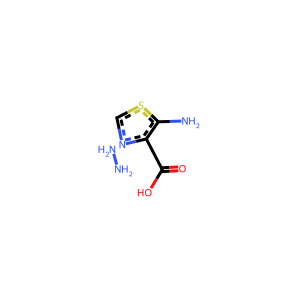 NN.Nc1scnc1C(=O)O